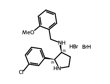 Br.Br.COc1ccccc1CN[C@H]1CCN[C@H]1c1cccc(Cl)c1